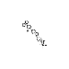 COC(=O)c1ccc(-c2ccc(OCC3CCN(CC4(C(F)(F)F)CCC4)CC3)cc2)c(F)c1